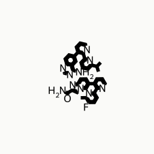 CC(C)c1cccc(-c2ncccc2-c2ccc3ncnc(N)c3c2)n1.Cc1nc(-c2ncccc2-c2ccc3nc(C(N)=O)cn3c2)ccc1F